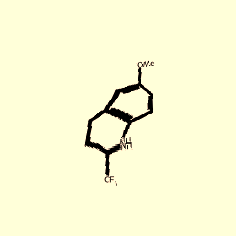 COc1ccc2c(c1)CCC(C(F)(F)F)N2